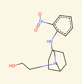 O=[N+]([O-])c1ccccc1NC12CCC(CC1)CN(CCO)C2